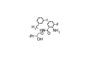 CC(C)C(O)CONC(=O)c1cccc(F)c1N.Cc1cccc(I)c1